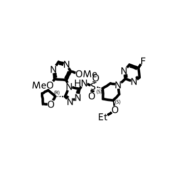 CCO[C@H]1C[C@H](S(=O)(=O)Nc2nnc([C@H]3CCCO3)n2-c2c(OC)ncnc2OC)CN(c2ncc(F)cn2)C1